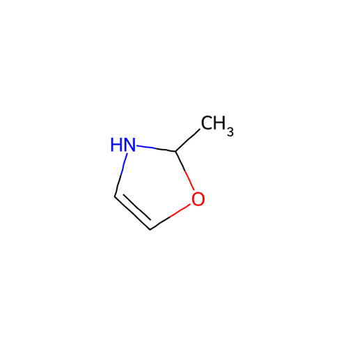 CC1NC=CO1